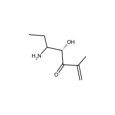 C=C(C)C(=O)[C@@H](O)C(N)CC